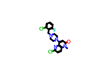 Cn1c(=O)cc(N2CCN(Cc3c(F)cccc3Cl)CC2)c2nc(Cl)ccc21